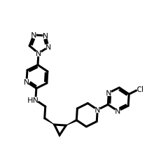 Clc1cnc(N2CCC([C@H]3C[C@H]3CCNc3ccc(-n4cnnn4)cn3)CC2)nc1